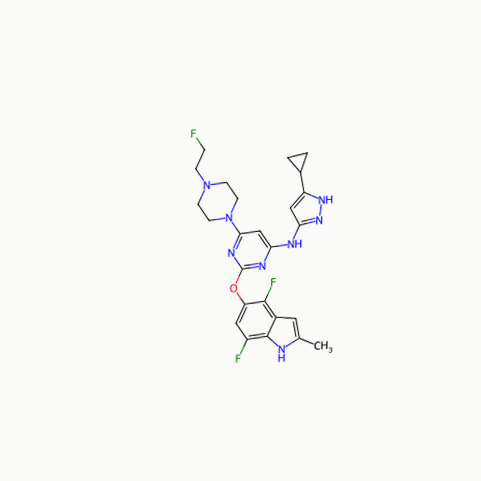 Cc1cc2c(F)c(Oc3nc(Nc4cc(C5CC5)[nH]n4)cc(N4CCN(CCF)CC4)n3)cc(F)c2[nH]1